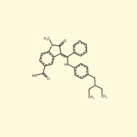 CCN(CC)Cc1ccc(NC(=C2C(=O)N(C)c3ccc(C(=O)O)cc32)c2cccnc2)cc1